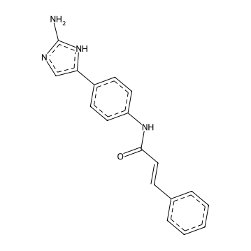 Nc1ncc(-c2ccc(NC(=O)/C=C/c3ccccc3)cc2)[nH]1